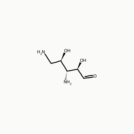 NC[C@@H](O)[C@@H](N)[C@@H](O)C=O